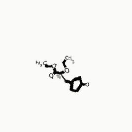 CCOC(=O)[C@H](Cc1ccc([O])cc1)OCC